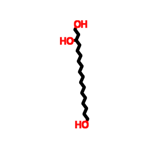 OCCCCCCCCCCCCCCCC(O)CCO